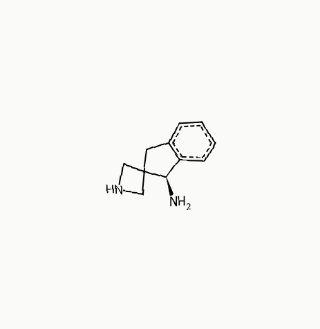 N[C@@H]1c2ccccc2CC12CNC2